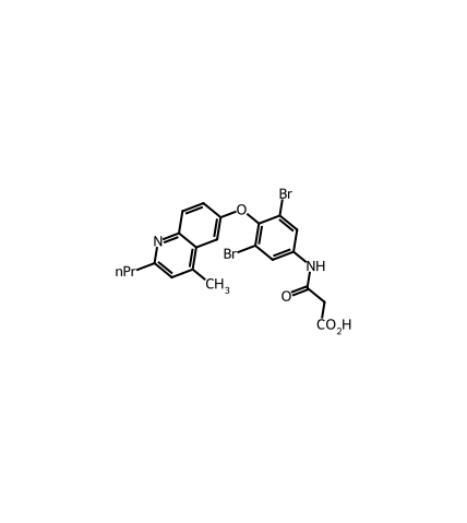 CCCc1cc(C)c2cc(Oc3c(Br)cc(NC(=O)CC(=O)O)cc3Br)ccc2n1